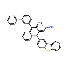 C=c1c(-c2cccc(-c3ccccc3)c2)c2ccccc2c(-c2ccc3sc4ccccc4c3c2)/c1=C/C=N